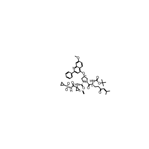 C=C[C@@H]1C[C@]1(NC(=O)[C@@H]1C[C@@H](Oc2cc(-c3ccccc3)nc3cc(OC)ccc23)CN1C(=O)[C@H](CCC(=O)C=C(C)C)NC(=O)OC(C)(C)C)C(=O)NS(=O)(=O)C1CC1